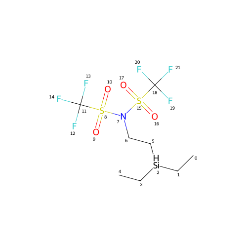 CC[SiH](CC)CCN(S(=O)(=O)C(F)(F)F)S(=O)(=O)C(F)(F)F